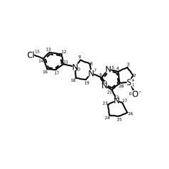 [O-][S@+]1CCc2nc(N3CCN(c4ccc(Cl)cc4)CC3)nc(N3CCCCC3)c21